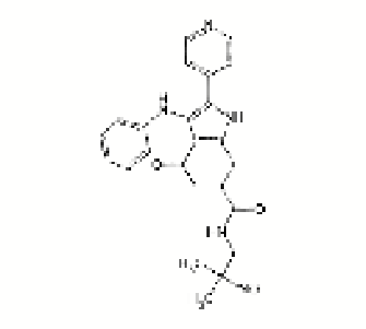 CC(C)(CNC(=O)C1CC(=O)c2c([nH]c(-c3ccncc3)c2Nc2ccccc2)C1)N=O